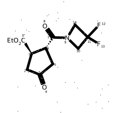 CCOC(=O)[C@@H]1CC(=O)C[C@H]1C(=O)N1CC(F)(F)C1